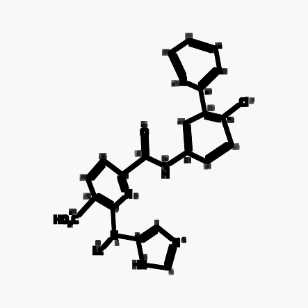 CCN(c1cnc[nH]1)c1nc(C(=O)Nc2ccc(Cl)c(-c3ccccn3)c2)ccc1C(=O)O